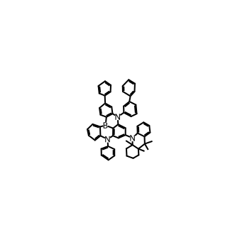 CC1(C)c2ccccc2N(c2cc3c4c(c2)N(c2cccc(-c5ccccc5)c2)c2cc(-c5ccccc5)ccc2B4c2ccccc2N3c2ccccc2)C2(C)CCCCC12C